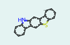 [c]1cccc2sc3cc4c(cc3c12)[nH]c1ccccc14